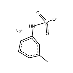 Cc1cccc(NS(=O)(=O)[O-])c1.[Na+]